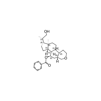 C[C@H](CO)[C@H]1CC[C@H]2[C@@H]3[C@H](OC(=O)c4ccccc4)C[C@H]4COCC[C@]4(C)[C@H]3CC[C@]12C